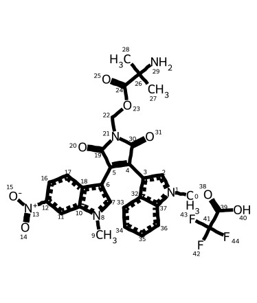 Cn1cc(C2=C(c3cn(C)c4cc([N+](=O)[O-])ccc34)C(=O)N(COC(=O)C(C)(C)N)C2=O)c2ccccc21.O=C(O)C(F)(F)F